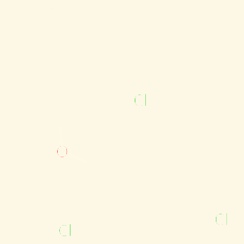 Clc1cc(Cl)c(Oc2cc[c]cc2)c(Cl)c1